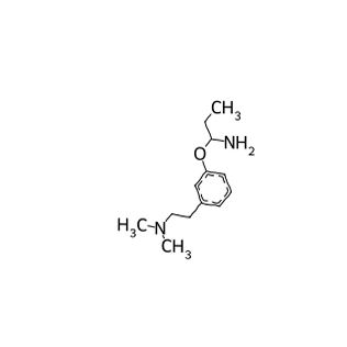 CCC(N)Oc1cccc(CCN(C)C)c1